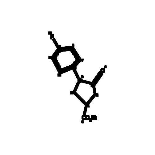 CCOC(=O)C1CC(=O)N(c2ccc(F)cc2)C1